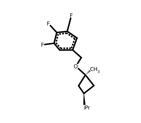 CC(C)[C@H]1C[C@@](C)(OCc2cc(F)c(F)c(F)c2)C1